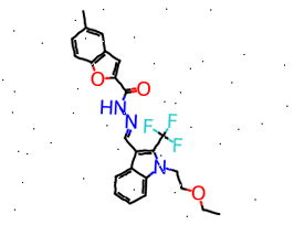 CCOCCn1c(C(F)(F)F)c(C=NNC(=O)c2cc3cc(C)ccc3o2)c2ccccc21